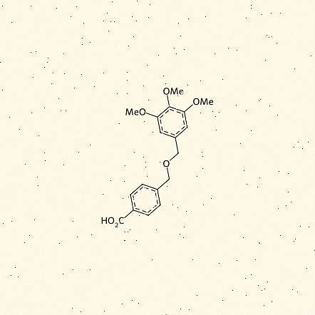 COc1cc(COCc2ccc(C(=O)O)cc2)cc(OC)c1OC